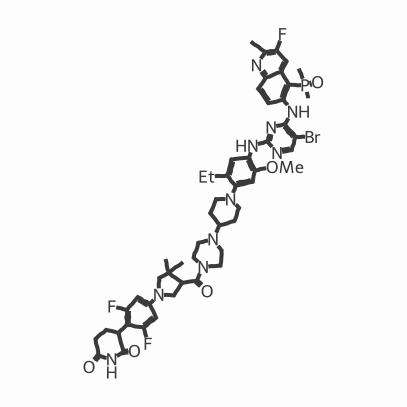 CCc1cc(Nc2ncc(Br)c(Nc3ccc4nc(C)c(F)cc4c3P(C)(C)=O)n2)c(OC)cc1N1CCC(N2CCN(C(=O)C3CN(c4cc(F)c(C5CCC(=O)NC5=O)c(F)c4)CC3(C)C)CC2)CC1